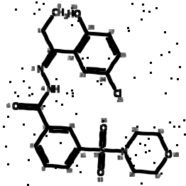 CCC(=NNC(=O)c1cccc(S(=O)(=O)N2CCOCC2)c1)c1cc(Cl)ccc1O